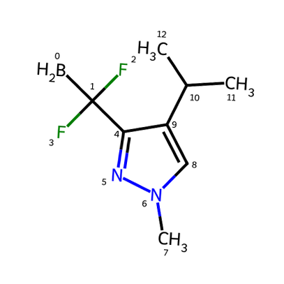 BC(F)(F)c1nn(C)cc1C(C)C